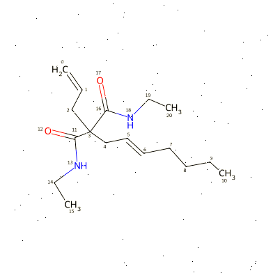 C=CCC(CC=CCCCC)(C(=O)NCC)C(=O)NCC